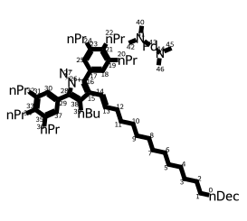 CCCCCCCCCCCCCCCCCCCCCCC=CC1=C(c2cc(CCC)c(CCC)c(CCC)c2)[N+](=[N-])C(c2cc(CCC)c(CCC)c(CCC)c2)=C1CCCC.C[N](C)[Pd][N](C)C